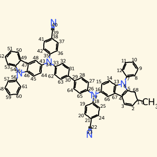 CC1C=Cc2c(n(-c3ccccc3)c3ccc(N(c4ccc(C#N)cc4)c4ccc(-c5ccc(N(c6ccc(C#N)cc6)c6ccc7c(c6)c6ccccc6n7-c6ccccc6)cc5)cc4)cc23)C1